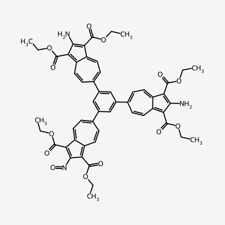 CCOC(=O)c1c2ccc(-c3cc(-c4ccc5c(C(=O)OCC)c(N)c(C(=O)OCC)c-5cc4)cc(-c4ccc5c(C(=O)OCC)c(N=O)c(C(=O)OCC)c-5cc4)c3)ccc-2c(C(=O)OCC)c1N